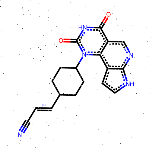 N#C/C=C/C1CCC(n2c(=O)[nH]c(=O)c3cnc4[nH]ccc4c32)CC1